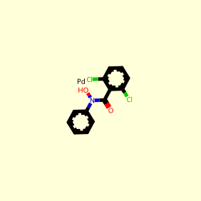 O=C(c1c(Cl)cccc1Cl)N(O)c1ccccc1.[Pd]